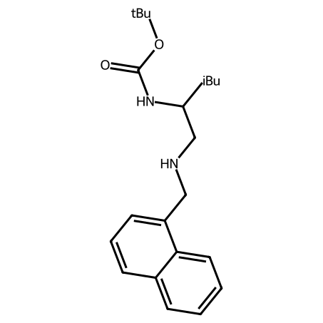 CCC(C)C(CNCc1cccc2ccccc12)NC(=O)OC(C)(C)C